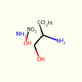 N.NC(CO)C(=O)O.O=[N+]([O-])O